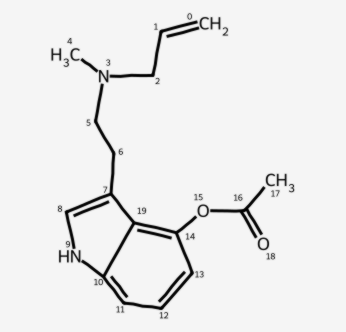 C=CCN(C)CCc1c[nH]c2cccc(OC(C)=O)c12